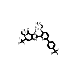 CCSc1ccc(-c2ccc(C(F)(F)F)cc2)nc1-c1nc2cc(C(F)(F)F)n(CC)c(=O)c2n1C